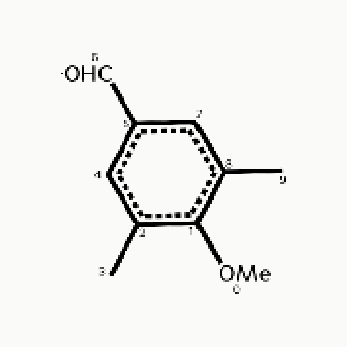 COc1c(C)cc([C]=O)cc1C